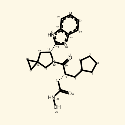 O=C(C[C@@H](CC1CCCC1)C(=O)N1CC2(CC2)C[C@@H]1c1nc2ccccc2[nH]1)NO